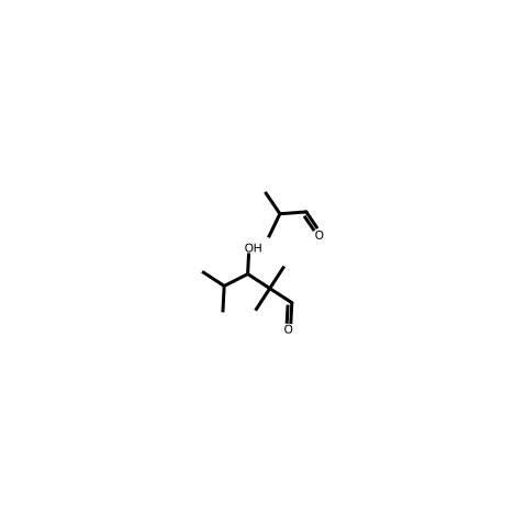 CC(C)C(O)C(C)(C)C=O.CC(C)C=O